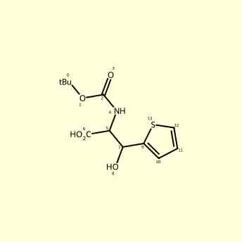 CC(C)(C)OC(=O)NC(C(=O)O)C(O)c1cccs1